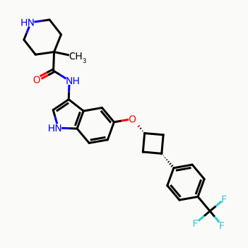 CC1(C(=O)Nc2c[nH]c3ccc(O[C@H]4C[C@@H](c5ccc(C(F)(F)F)cc5)C4)cc23)CCNCC1